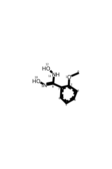 COc1ccccc1C(=NO)NO